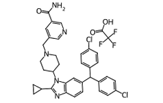 NC(=O)c1cncc(CN2CCC(n3c(C4CC4)nc4ccc(C(c5ccc(Cl)cc5)c5ccc(Cl)cc5)cc43)CC2)c1.O=C(O)C(F)(F)F